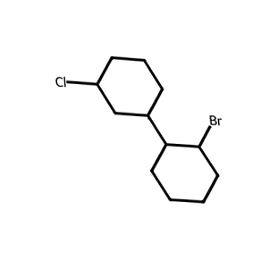 ClC1CCC[C](C2CCCCC2Br)C1